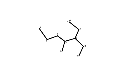 [CH2]CC(CC)C(C)CCC